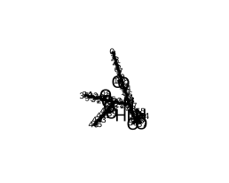 CCCCCCCCCCC(=O)OCCCCCCN(CCCCC(COC(=O)CCCCCCC)COC(=O)CCCCCCC)CCCNc1c(N(C)C)c(=O)c1=O